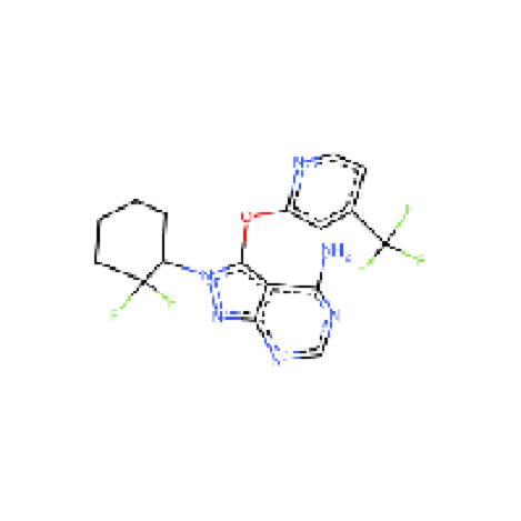 Nc1ncnc2nn(C3CCCCC3(F)F)c(Oc3cc(C(F)(F)F)ccn3)c12